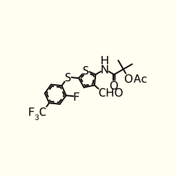 CC(=O)OC(C)(C)C(=O)Nc1sc(Sc2ccc(C(F)(F)F)cc2F)cc1C=O